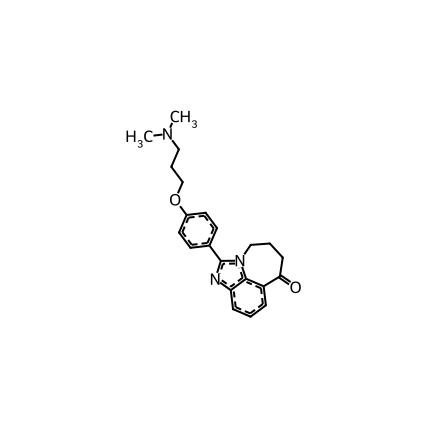 CN(C)CCCOc1ccc(-c2nc3cccc4c3n2CCCC4=O)cc1